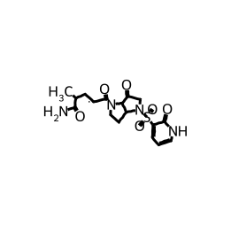 CC(C[CH]C(=O)N1CCC2C1C(=O)CN2S(=O)(=O)c1ccc[nH]c1=O)C(N)=O